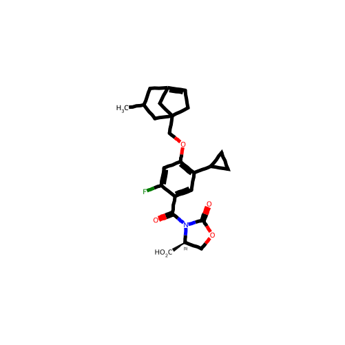 CC1CC2=CCC(COc3cc(F)c(C(=O)N4C(=O)OC[C@H]4C(=O)O)cc3C3CC3)(C2)C1